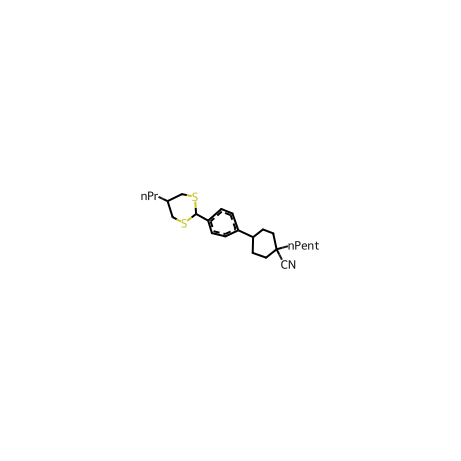 CCCCCC1(C#N)CCC(c2ccc(C3SCC(CCC)CS3)cc2)CC1